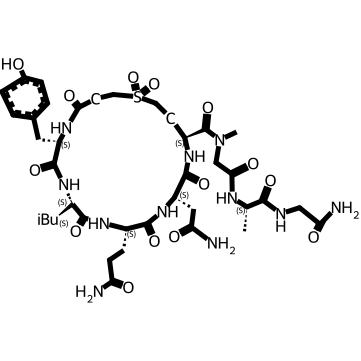 CC[C@H](C)[C@@H]1NC(=O)[C@H](Cc2ccc(O)cc2)NC(=O)CCS(=O)(=O)CC[C@@H](C(=O)N(C)CC(=O)N[C@@H](C)C(=O)NCC(N)=O)NC(=O)[C@H](CC(N)=O)NC(=O)[C@H](CCC(N)=O)NC1=O